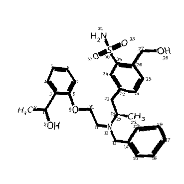 CC(O)c1ccccc1OCCN(Cc1ccccc1)[C@H](C)Cc1ccc(CO)c(S(N)(=O)=O)c1